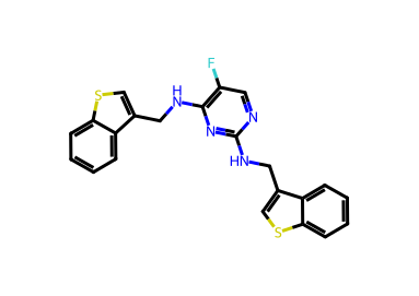 Fc1cnc(NCc2csc3ccccc23)nc1NCc1csc2ccccc12